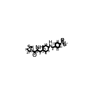 NC(CC1CCC(NCc2ccc([N+](=O)[O-])cc2)CC1)C(=O)N1CCSC1